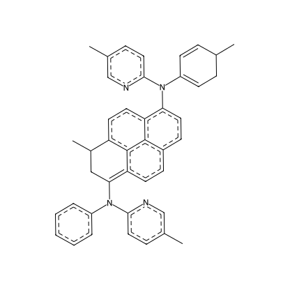 Cc1ccc(N(C2=c3ccc4ccc(N(C5=CCC(C)C=C5)c5ccc(C)cn5)c5ccc(c3c45)C(C)C2)c2ccccc2)nc1